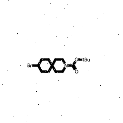 CC(C)(C)OC(=O)N1CCC2(CCC(Br)CC2)CC1